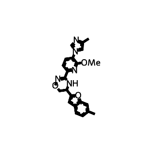 COc1nc(C2=NOCC(c3cc4ccc(C)cc4o3)N2)ccc1-n1cnc(C)c1